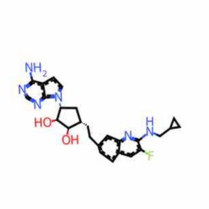 Nc1ncnc2c1ccn2[C@@H]1C[C@H](CCc2ccc3cc(F)c(NCC4CC4)nc3c2)[C@@H](O)[C@H]1O